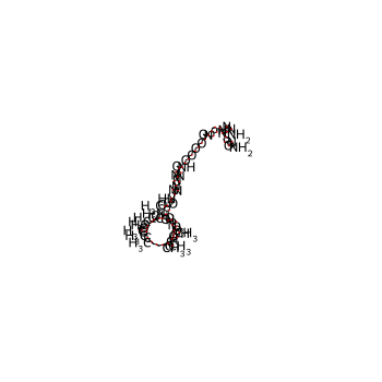 CO[C@H]1C[C@@H]2CC[C@@H](C)[C@@](O)(O2)C(=O)C(=O)N2CCCC[C@H]2C(=O)O[C@H]([C@H](N)C[C@@H]2CC[C@@H](OC(=O)NCc3cnc(N4CCN(c5ncc(C(=O)NCCOCCOCCOCCOCCC(=O)N6CCc7cc(Cn8nc(-c9ccc%10oc(N)nc%10c9)c9c(N)ncnc98)ccc7C6)cn5)CC4)nc3)[C@H](OC)C2)C[C@@H](O)[C@H](C)/C=C(\C)[C@@H](O)[C@@H](OC)C(=O)[C@H](C)C[C@H](C)/C=C/C=C/C=C/1C